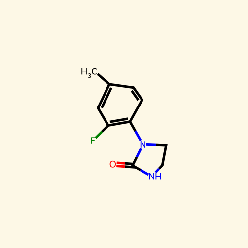 Cc1ccc(N2CCNC2=O)c(F)c1